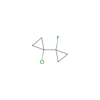 FC1(C2(Cl)CC2)CC1